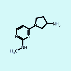 CNc1nccc(N2CCC(N)C2)n1